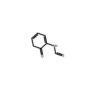 O=C1CC=CC=C1N[C]=S